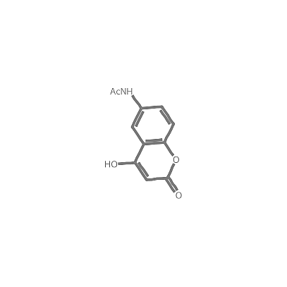 CC(=O)Nc1ccc2oc(=O)cc(O)c2c1